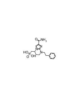 NC(=O)c1cn2c(n1)N(CCc1ccccc1)CCC2CP(=O)(O)O